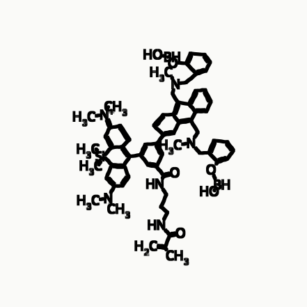 C=C(C)C(=O)NCCCNC(=O)c1cc(C2=C3C=CC(=[N+](C)C)C=C3[Si](C)(C)c3cc(N(C)C)ccc32)cc(-c2ccc3c(CN(C)Cc4ccccc4OBO)c4ccccc4c(CN(C)Cc4ccccc4OBO)c3c2)c1